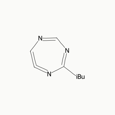 CCC(C)C1=NC=NC=C=N1